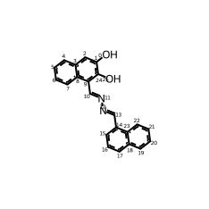 Oc1cc2ccccc2c(C=NN=Cc2cccc3ccccc23)c1O